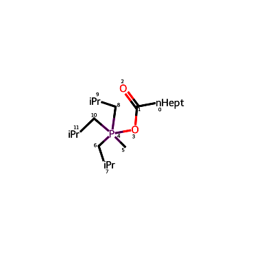 CCCCCCCC(=O)OP(C)(CC(C)C)(CC(C)C)CC(C)C